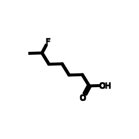 CC(F)CCCCC(=O)O